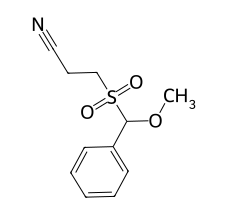 COC(c1ccccc1)S(=O)(=O)CCC#N